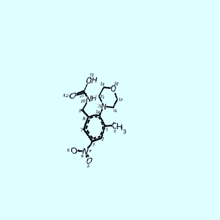 Cc1cc([N+](=O)[O-])cc(CNC(=O)O)c1N1CCOCC1